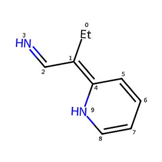 CC/C(C=N)=C1\C=CC=CN1